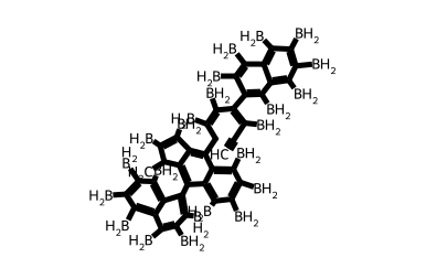 BC1=C(B)C(C)c2c1c(C/C(B)=C(B)\C(=C(\B)C#C)c1c(B)c(B)c3c(B)c(B)c(B)c(B)c3c1B)c1c(B)c(B)c(B)c(B)c1c2-c1c(B)c(B)c(B)c2c(B)c(B)c(B)c(B)c12